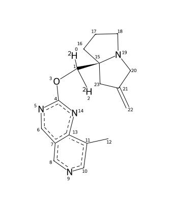 [2H]C([2H])(Oc1ncc2cncc(C)c2n1)[C@@]12CCCN1CC(=C)C2